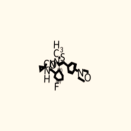 Cc1nc([C@@H]2CC[C@H](F)CC2C(=O)NC2(C#N)CC2)c(-c2ccc(N3CCOCC3)cc2)s1